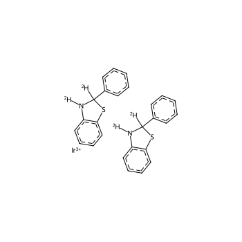 [2H]N1c2ccccc2SC1([2H])c1ccccc1.[2H]N1c2ccccc2SC1([2H])c1ccccc1.[Ir+3]